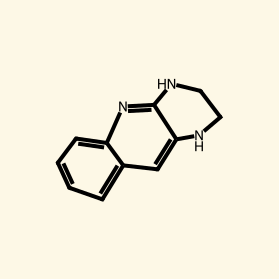 c1ccc2nc3c(cc2c1)NCCN3